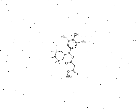 CCCCOC(=O)CC(=O)OC(c1cc(C(C)(C)C)c(O)c(C(C)(C)C)c1)C1CC(C)(C)N(C)C(C)(C)C1